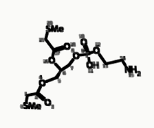 CSCC(=O)OC[C@H](COP(=O)(O)OCCN)OC(=O)CSC